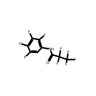 O=C(Nc1cc(F)c(F)c(F)c1F)C(F)(F)C(F)(F)F